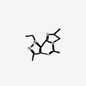 CCn1nc(C)c2c1C1=NC(C)CN1C(C)=N2